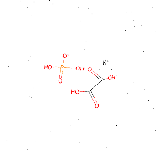 O=C(O)C(=O)O.O=P([O-])(O)O.[K+]